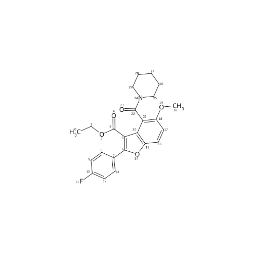 CCOC(=O)c1c(-c2ccc(F)cc2)oc2ccc(OC)c(C(=O)N3CCCCC3)c12